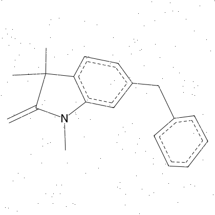 C=C1N(C)c2cc(Cc3ccccc3)ccc2C1(C)C